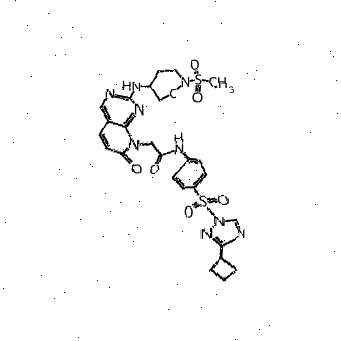 CS(=O)(=O)N1CCC(Nc2ncc3ccc(=O)n(CC(=O)Nc4ccc(S(=O)(=O)n5cnc(C6CCC6)n5)cc4)c3n2)CC1